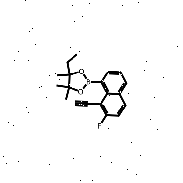 C#Cc1c(F)ccc2cccc(B3OC(C)(C)C(C)(CC)O3)c12